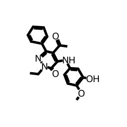 CCn1nc(-c2ccccc2)c(C(C)=O)c(Nc2ccc(OC)c(O)c2)c1=O